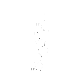 C=CCNC(=O)Nc1nc2cc(-c3cc[nH]n3)c(C)nc2s1